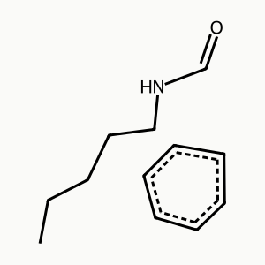 CCCCCNC=O.c1ccccc1